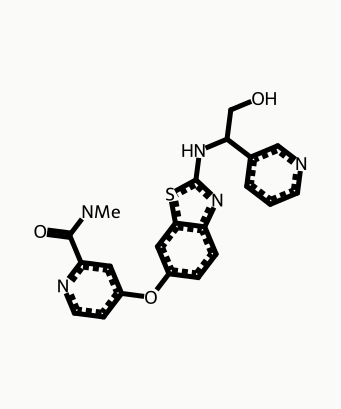 CNC(=O)c1cc(Oc2ccc3nc(NC(CO)c4cccnc4)sc3c2)ccn1